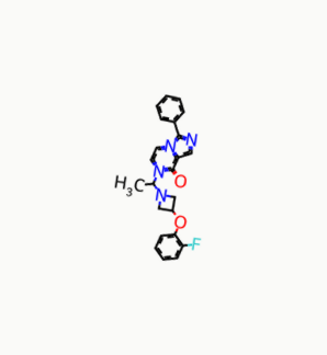 CC(N1CC(Oc2ccccc2F)C1)n1ccn2c(-c3ccccc3)ncc2c1=O